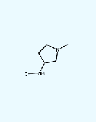 CN1CCC(NCl)C1